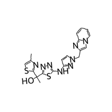 Cc1csc(C(C)(O)c2nnc(Nc3ccn(Cc4cn5ccccc5n4)n3)s2)n1